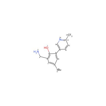 CC(C)(C)c1cc(CN)c(O)c(-c2ccc(C(F)(F)F)nc2)c1